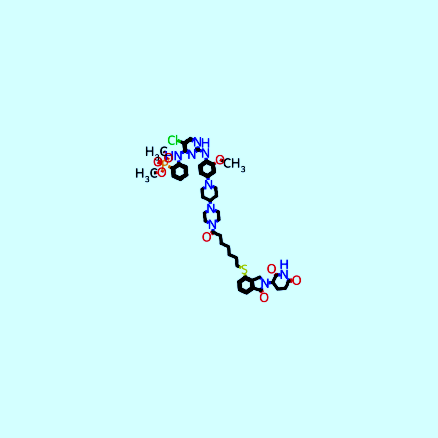 COc1cc(N2CCC(N3CCN(C(=O)CCCCCCSc4cccc5c4CN(C4CCC(=O)NC4=O)C5=O)CC3)CC2)ccc1Nc1ncc(Cl)c(Nc2ccccc2P(=O)(OC)OC)n1